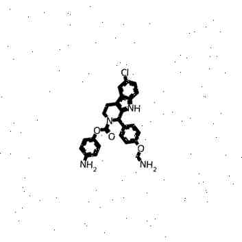 NCOc1ccc(C2c3[nH]c4ccc(Cl)cc4c3CCN2C(=O)Oc2ccc(N)cc2)cc1